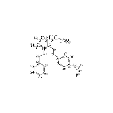 CC#N.CCC(CCc1ccc(C2CC2F)cc1)N(C)CCc1ccccc1